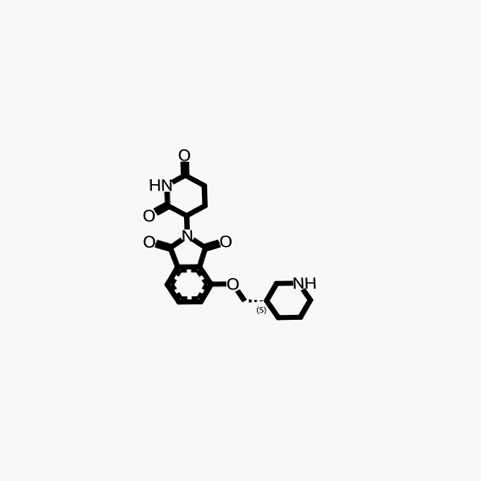 O=C1CCC(N2C(=O)c3cccc(OC[C@H]4CCCNC4)c3C2=O)C(=O)N1